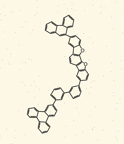 c1cc(-c2cccc(-c3ccc4c5ccccc5c5ccccc5c4c3)c2)cc(-c2ccc3oc4c(ccc5c6cc(-c7cc8ccccc8c8ccccc78)ccc6oc54)c3c2)c1